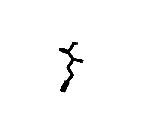 C#CCCC(Br)C(=O)O